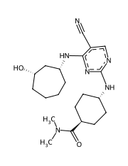 CN(C)C(=O)[C@H]1CC[C@H](Nc2ncc(C#N)c(N[C@@H]3CCCC[C@H](O)C3)n2)CC1